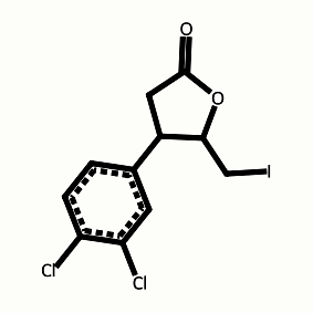 O=C1CC(c2ccc(Cl)c(Cl)c2)C(CI)O1